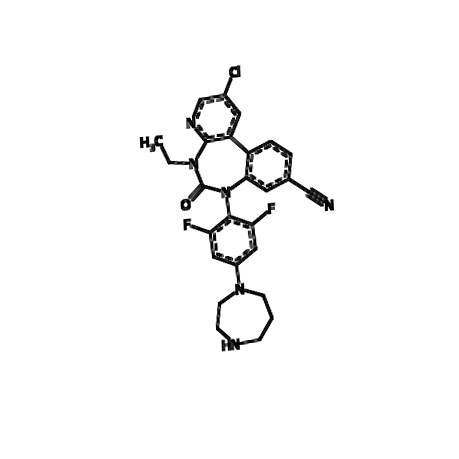 CCN1C(=O)N(c2c(F)cc(N3CCCNCC3)cc2F)c2cc(C#N)ccc2-c2cc(Cl)cnc21